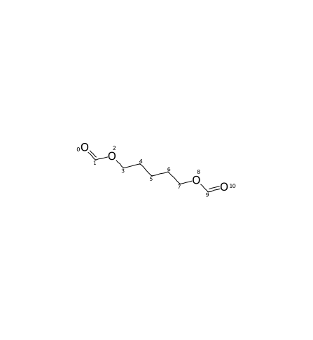 O=COCCCCCOC=O